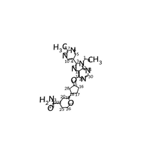 CCn1c(-c2cnc(C)nc2)nc2c(O[C@@H]3CC[C@@H](C4CC(C(N)=O)CCO4)C3)ncnc21